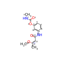 CNC(=O)Oc1cccc(NC(=O)/C=C(/C)OC)c1